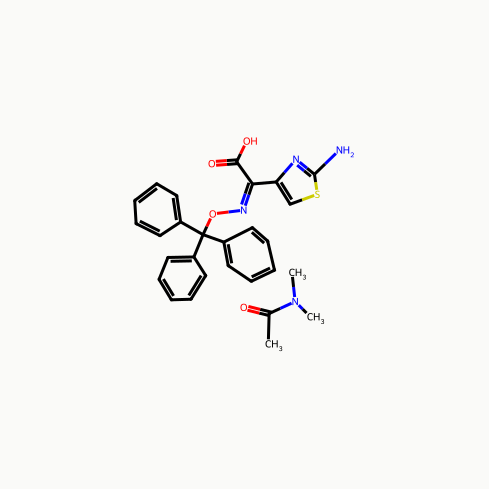 CC(=O)N(C)C.Nc1nc(/C(=N/OC(c2ccccc2)(c2ccccc2)c2ccccc2)C(=O)O)cs1